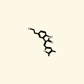 Cc1cc(C=C2C(=O)Nc3ccc(CCCl)cc32)oc1C